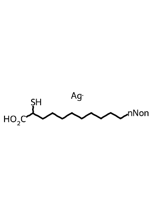 CCCCCCCCCCCCCCCCCCC(S)C(=O)O.[Ag]